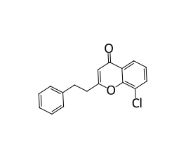 O=c1cc(CCc2ccccc2)oc2c(Cl)cccc12